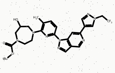 Cc1ccc(-n2ncc3cnc(-c4cnn(CC(F)(F)F)c4)cc32)nc1N1CCN(C(=O)OC(C)(C)C)CC(O)C1